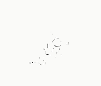 FC(F)(F)C1(c2cc(Cl)cc(Cl)c2)CC(c2nnc(S)o2)=NN1